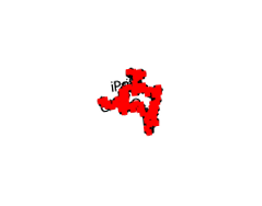 CC(C)[Si](c1ccc2nc(-n3c4ccc(-c5ccc6oc7ccccc7c6c5)cc4c4c5ccccc5c(-c5ccc6c(c5)oc5ccc(-c7ccc8c(c7)c7c9cc(Cc%10cccc(-n%11c%12ccccc%12c%12cc(-c%13ccc%14c(c%13)c%13ccccc%13n%14-c%13ccc%14c(c%13)c%13ccccc%13n%14-c%13ccccc%13)ccc%12%11)c%10)ccc9ccc7n8-c7ncc(-c8ccccc8)c8ccccc78)cc56)cc43)ccc2c1)(C(C)C)C(C)C